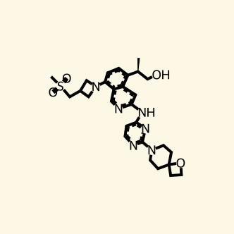 C[C@@H](CO)c1ccc(N2CC(CS(C)(=O)=O)C2)c2cnc(Nc3ccnc(N4CCC5(CCO5)CC4)n3)cc12